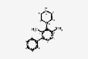 Cc1n[c]c(-c2ccccc2)c(C)c1N1CCNCC1